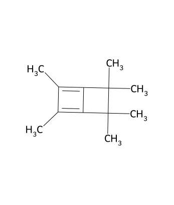 CC1=C2C(=C1C)C(C)(C)C2(C)C